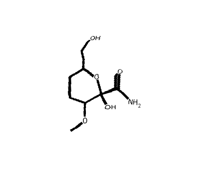 COC1CCC(CO)OC1(O)C(N)=O